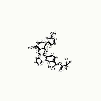 NC(OC(=O)C(F)(F)F)c1ccc(-c2nc3c(-c4cccc(O)c4)cnc(O)c3cc2-c2ccccc2)cc1